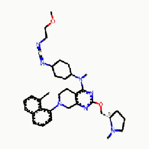 COCCN=C=NC1CCC(N(C)c2nc(OC[C@@H]3CCCN3C)nc3c2CCN(c2cccc4cccc(C)c24)C3)CC1